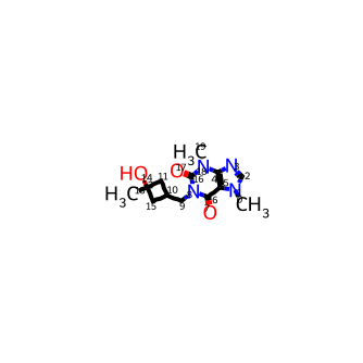 Cn1cnc2c1c(=O)n(CC1CC(C)(O)C1)c(=O)n2C